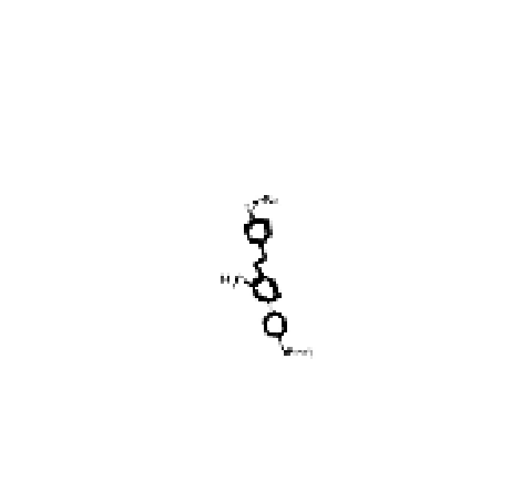 CCCCC[C@H]1CC[C@H](c2ccc(CCc3ccc(OCCCC)cc3)c(C)c2)CC1